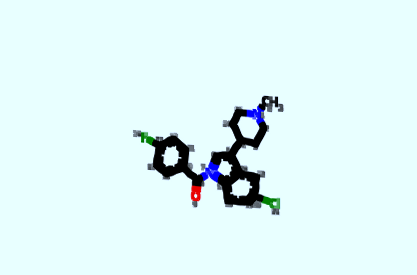 CN1CCC(c2cn(C(=O)c3ccc(F)cc3)c3ccc(Cl)cc23)CC1